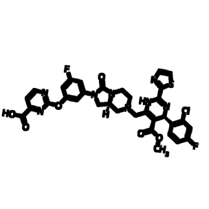 COC(=O)C1=C(CN2CCN3C(=O)N(c4cc(F)cc(Oc5nccc(C(=O)O)n5)c4)C[C@@H]3C2)NC(c2nccs2)=N[C@H]1c1ccc(F)cc1Cl